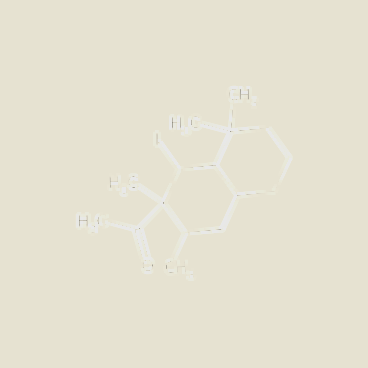 CC(=O)C1(C)C(C)CC2CCCC(C)(C)C2C1I